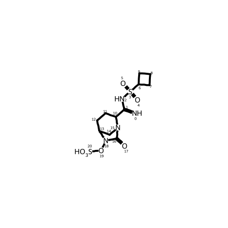 N=C(NS(=O)(=O)C1CCC1)C1CCC2CN1C(=O)N2OS(=O)(=O)O